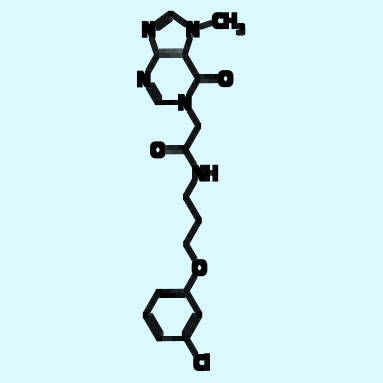 Cn1cnc2ncn(CC(=O)NCCCOc3cccc(Cl)c3)c(=O)c21